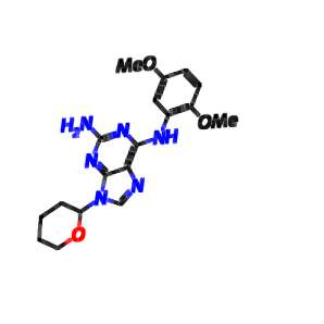 COc1ccc(OC)c(Nc2nc(N)nc3c2ncn3C2CCCCO2)c1